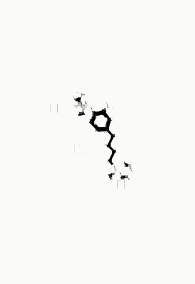 CC[N+](CC)(CC)CCCCc1ccc(NS(C)(=O)=O)c(C)c1.[Br-]